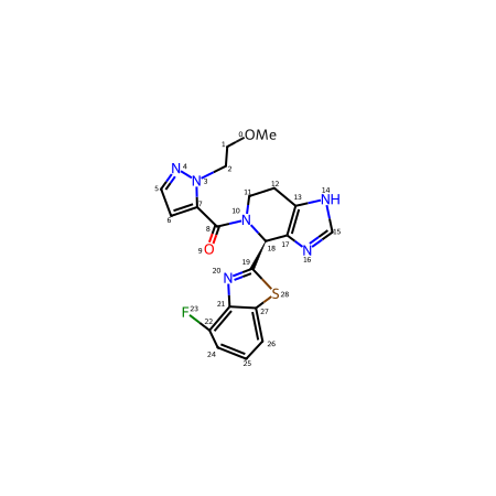 COCCn1nccc1C(=O)N1CCc2[nH]cnc2[C@H]1c1nc2c(F)cccc2s1